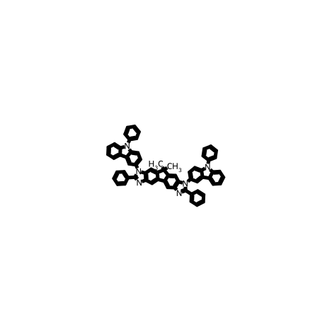 CC1(C)c2cc3c(cc2-c2cc4nc(-c5ccccc5)n(-c5ccc6c(c5)c5ccccc5n6-c5ccccc5)c4cc21)nc(-c1ccccc1)n3-c1ccc2c(c1)c1ccccc1n2-c1ccccc1